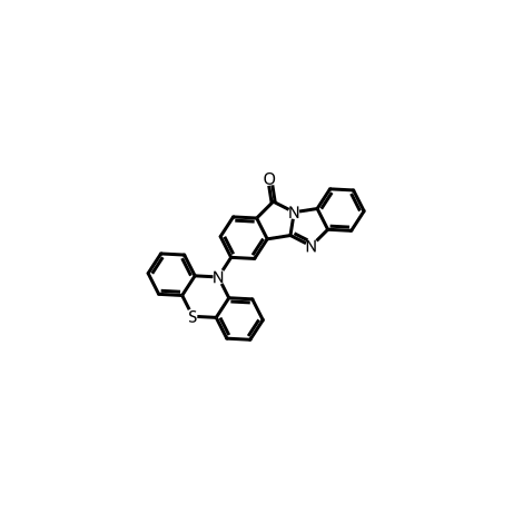 O=C1c2ccc(N3c4ccccc4Sc4ccccc43)cc2-c2nc3ccccc3n21